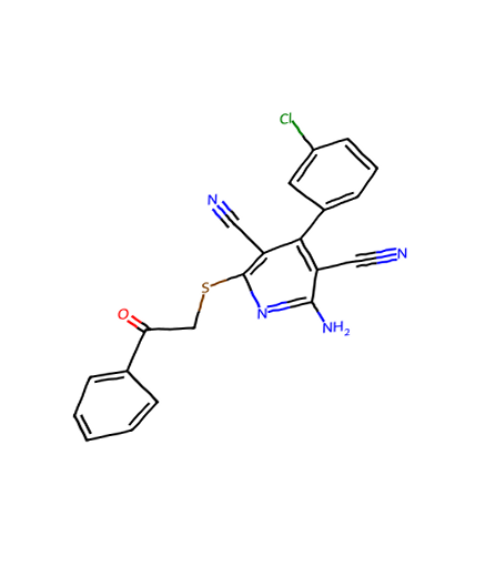 N#Cc1c(N)nc(SCC(=O)c2ccccc2)c(C#N)c1-c1cccc(Cl)c1